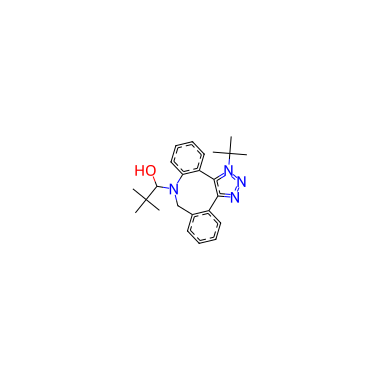 CC(C)(C)C(O)N1Cc2ccccc2-c2nnn(C(C)(C)C)c2-c2ccccc21